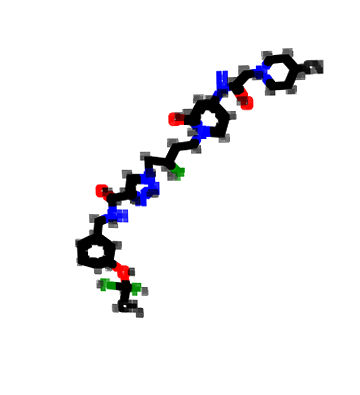 CC(F)(F)Oc1cccc(CNC(=O)c2cn(CC(F)CCn3ccc(NC(=O)CN4CCC(C#N)CC4)cc3=O)nn2)c1